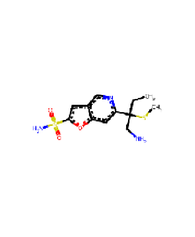 CCC(CN)(SC)c1cc2oc(S(N)(=O)=O)cc2cn1